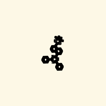 CC1(C)OB(c2cccc3c(-c4nc(-c5ccccc5)nc(-c5ccccc5)n4)cccc23)OC1(C)C